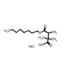 CCCCCCCCOC(=O)C(C)C(C)(C)C(=O)O.Cl